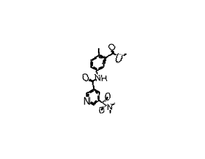 COC(=O)c1cc(NC(=O)c2cncc(S(=O)(=O)N(C)C)c2)ccc1C